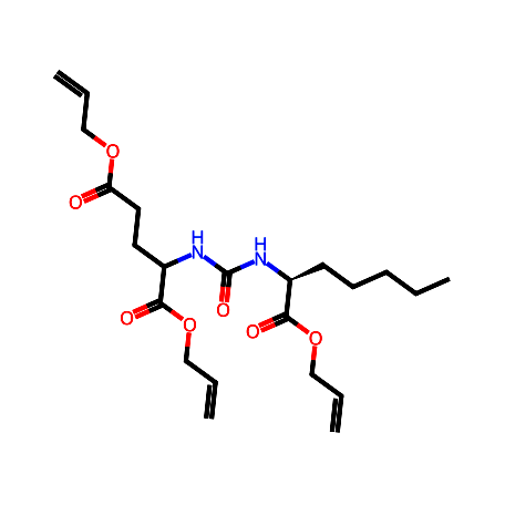 C=CCOC(=O)CCC(NC(=O)N[C@@H](CCCCC)C(=O)OCC=C)C(=O)OCC=C